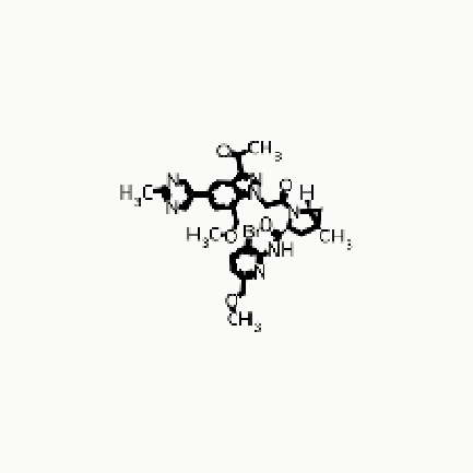 COCc1ccc(Br)c(NC(=O)[C@@H]2C[C@@]3(C)C[C@H]3N2C(=O)Cn2nc(C(C)=O)c3cc(-c4cnc(C)nc4)cc(COC)c32)n1